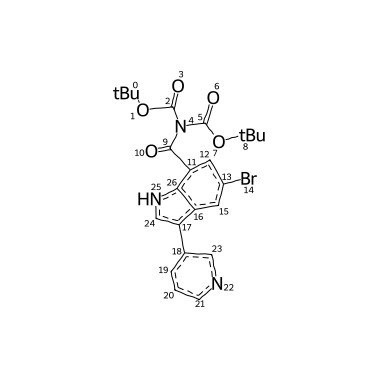 CC(C)(C)OC(=O)N(C(=O)OC(C)(C)C)C(=O)c1cc(Br)cc2c(-c3cccnc3)c[nH]c12